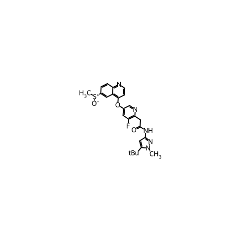 Cn1nc(NC(=O)Cc2ncc(Oc3ccnc4ccc([S+](C)[O-])cc34)cc2F)cc1C(C)(C)C